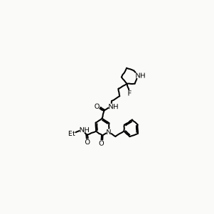 CCNC(=O)c1cc(C(=O)NCCCC2(F)CCCNC2)cn(Cc2ccccc2)c1=O